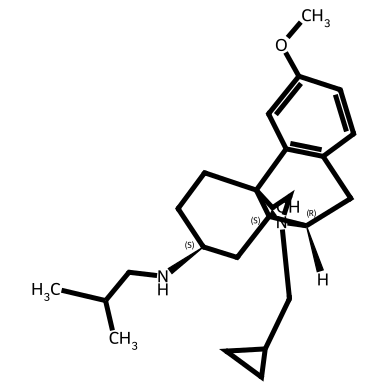 COc1ccc2c(c1)C13CC[C@H](NCC(C)C)C[C@@]1(O)[C@@H](C2)N(CC1CC1)CC3